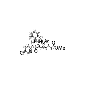 COC(=O)CCC[C@@H](COC(=O)Nc1ccc(Cl)cn1)N(NCc1cccc(F)c1F)C(C)=O